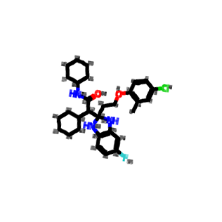 Cc1cc(Cl)ccc1OCCC1(C(C(=O)NC2CCCCC2)C2CCCCC2)Nc2ccc(F)cc2N1